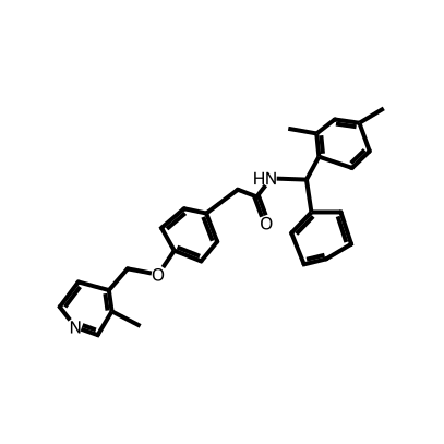 Cc1ccc(C(NC(=O)Cc2ccc(OCc3ccncc3C)cc2)c2ccccc2)c(C)c1